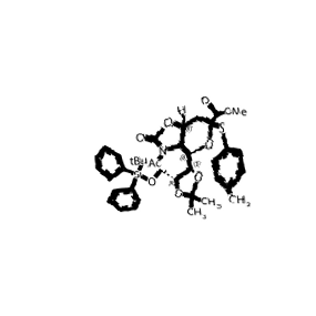 COC(=O)C1(Sc2ccc(C)cc2)C[C@H]2OC(=O)N(C(C)=O)C2[C@H]([C@@H]2OC(C)(C)O[C@@H]2CO[Si](c2ccccc2)(c2ccccc2)C(C)(C)C)O1